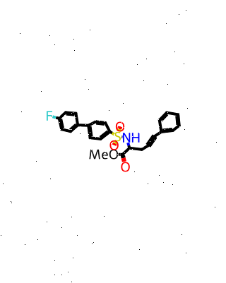 COC(=O)C(CC#Cc1ccccc1)NS(=O)(=O)c1ccc(-c2ccc(F)cc2)cc1